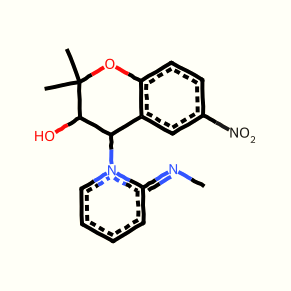 CN=c1ccccn1C1c2cc([N+](=O)[O-])ccc2OC(C)(C)C1O